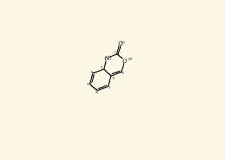 O=C1[N]C2C=CC=CC2=CO1